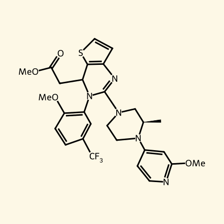 COC(=O)CC1c2sccc2N=C(N2CCN(c3ccnc(OC)c3)[C@H](C)C2)N1c1cc(C(F)(F)F)ccc1OC